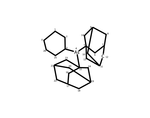 C1CCC([As](C23CC4CC(CC(C4)C2)C3)C23CC4CC(CC(C4)C2)C3)CC1